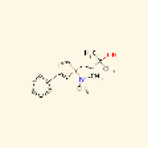 CN(C)S1(CCC(C)(C)O)C=CC(c2ccccc2)=C1